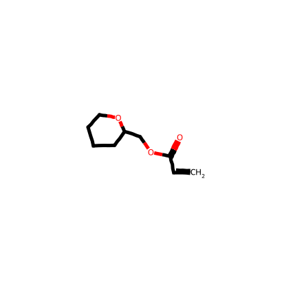 C=CC(=O)OCC1CCCCO1